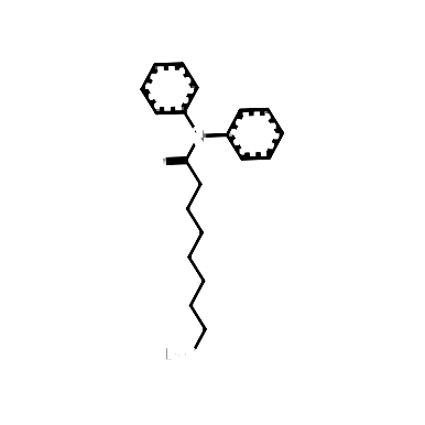 CCCCCCCCCCCCCCCCCC(=O)N(c1ccccc1)c1ccccc1